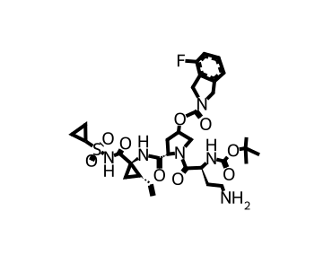 C=C[C@@H]1C[C@]1(NC(=O)[C@@H]1CC(OC(=O)N2Cc3cccc(F)c3C2)CN1C(=O)[C@H](CCN)NC(=O)OC(C)(C)C)C(=O)NS(=O)(=O)C1CC1